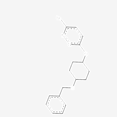 Brc1ccc(OC2CCC(OCc3ccccc3)CC2)nn1